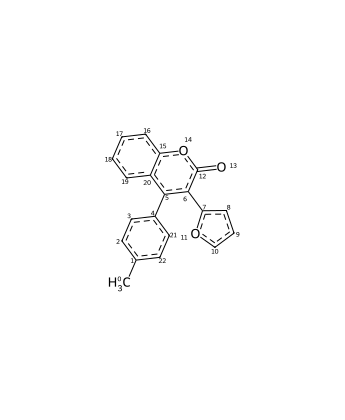 Cc1ccc(-c2c(-c3ccco3)c(=O)oc3ccccc23)cc1